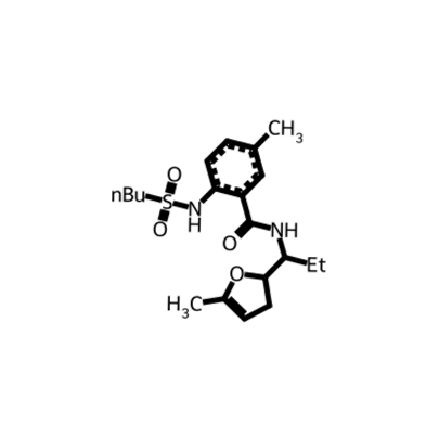 CCCCS(=O)(=O)Nc1ccc(C)cc1C(=O)NC(CC)C1CC=C(C)O1